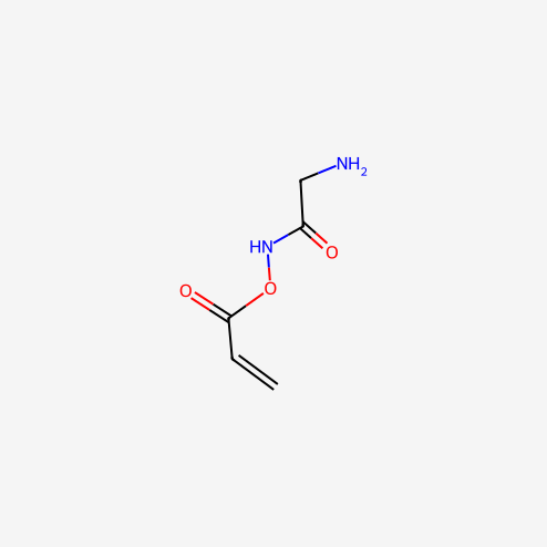 C=CC(=O)ONC(=O)CN